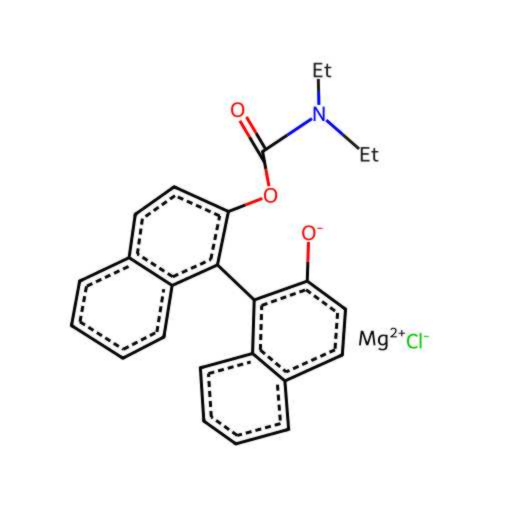 CCN(CC)C(=O)Oc1ccc2ccccc2c1-c1c([O-])ccc2ccccc12.[Cl-].[Mg+2]